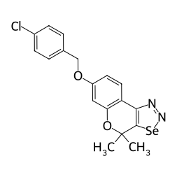 CC1(C)Oc2cc(OCc3ccc(Cl)cc3)ccc2-c2nn[se]c21